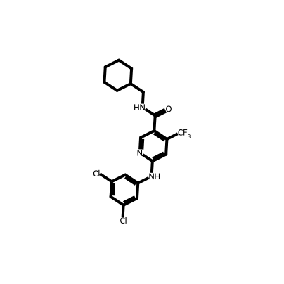 O=C(NCC1CCCCC1)c1cnc(Nc2cc(Cl)cc(Cl)c2)cc1C(F)(F)F